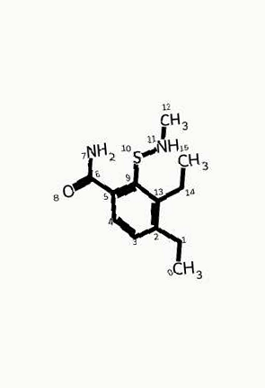 CCc1ccc(C(N)=O)c(SNC)c1CC